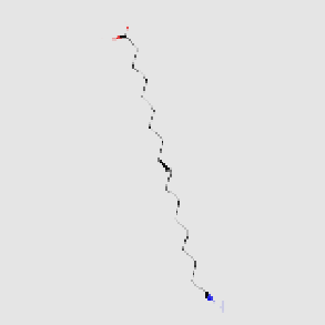 N#CCCCCCCCC=CCCCCCCCC(=O)O